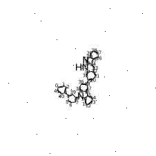 c1ccc(-c2cccc(-n3c4ccccc4c4cc(-c5ccc6cc7c8ccccc8nc-7[nH]c6c5)ccc43)c2)cc1